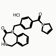 Cl.O=C(c1ccc(CN2C(=O)CNCc3ccccc32)cc1)N1CC=CC1